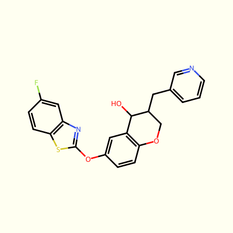 OC1c2cc(Oc3nc4cc(F)ccc4s3)ccc2OCC1Cc1cccnc1